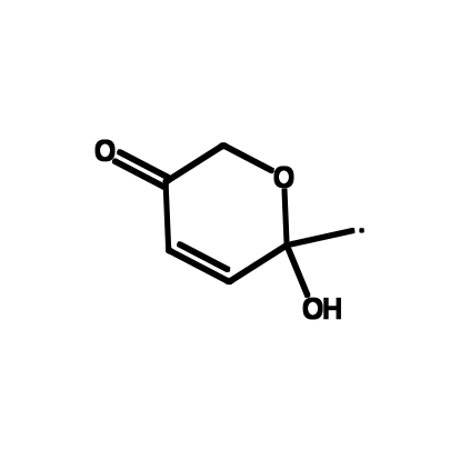 [CH2]C1(O)C=CC(=O)CO1